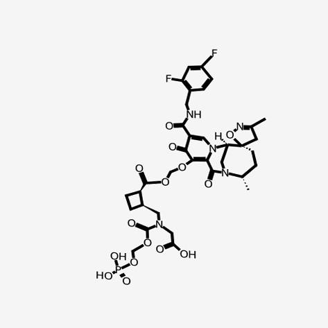 CC1=NO[C@@]2(CC[C@H](C)N3C[C@H]2n2cc(C(=O)NCc4ccc(F)cc4F)c(=O)c(OCOC(=O)[C@@H]4CC[C@@H]4CN(CC(=O)O)C(=O)OCOP(=O)(O)O)c2C3=O)C1